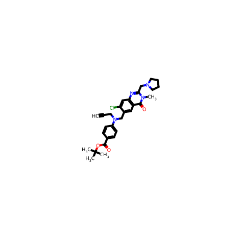 C#CCN(Cc1cc2c(=O)n(C)c(CN3CCCC3)nc2cc1Cl)c1ccc(C(=O)OC(C)(C)C)cc1